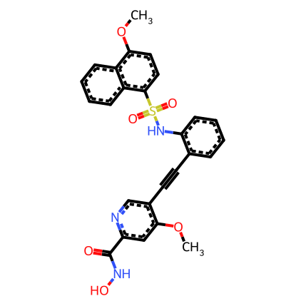 COc1cc(C(=O)NO)ncc1C#Cc1ccccc1NS(=O)(=O)c1ccc(OC)c2ccccc12